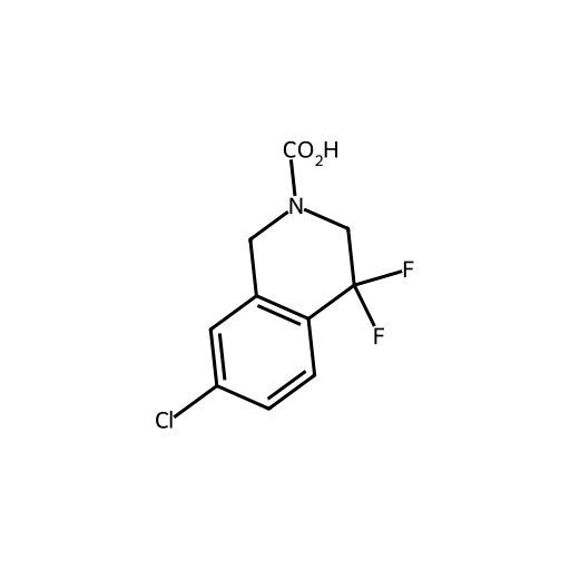 O=C(O)N1Cc2cc(Cl)ccc2C(F)(F)C1